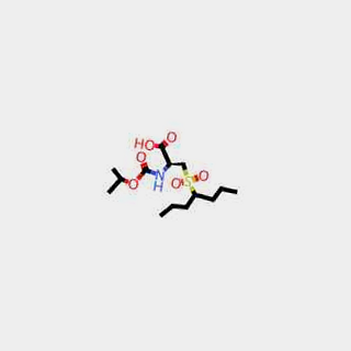 CCCC(CCC)S(=O)(=O)C[C@@H](NC(=O)OC(C)C)C(=O)O